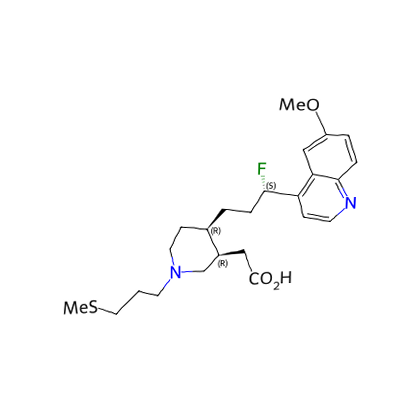 COc1ccc2nccc([C@@H](F)CC[C@@H]3CCN(CCCSC)C[C@@H]3CC(=O)O)c2c1